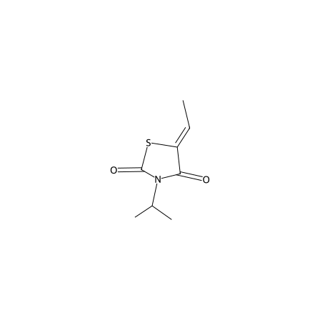 C/C=C1\SC(=O)N(C(C)C)C1=O